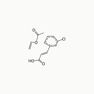 C=COC(C)=O.O=C(O)C=Cc1cccc(Cl)c1